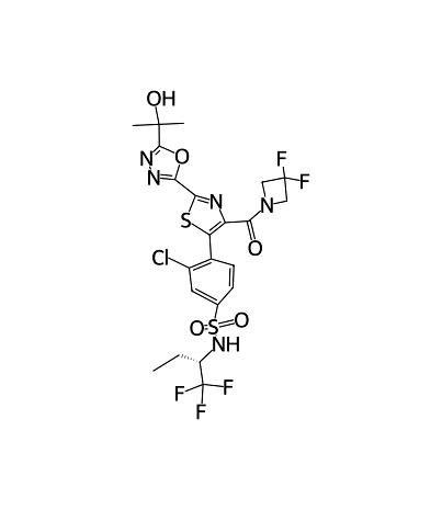 CC[C@H](NS(=O)(=O)c1ccc(-c2sc(-c3nnc(C(C)(C)O)o3)nc2C(=O)N2CC(F)(F)C2)c(Cl)c1)C(F)(F)F